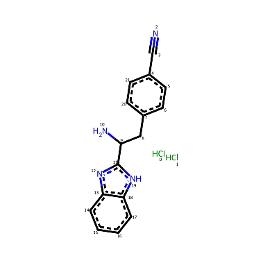 Cl.Cl.N#Cc1ccc(CC(N)c2nc3ccccc3[nH]2)cc1